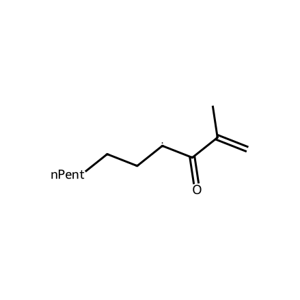 C=C(C)C(=O)[CH]CCCCCCC